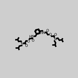 CC(C)CCN(CCC(C)C)C(=O)COCC(=O)NCc1cccc(CNC(=O)COCC(=O)N(CCC(C)C)CCC(C)C)c1